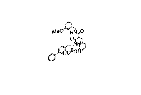 COc1cccc(CNC(=O)C(Cc2ccccc2)C(=O)N[C@@H](Cc2ccc(-c3ccccc3)cc2)B(O)O)c1